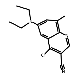 CCN(CC)c1cc(C)c2ncc(C#N)c(Cl)c2c1